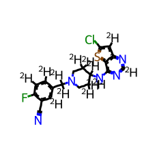 [2H]c1nc(N([2H])C2([2H])C([2H])([2H])CN(C([2H])([2H])c3c([2H])c([2H])c(F)c(C#N)c3[2H])CC2([2H])[2H])c2sc(Cl)c([2H])c2n1